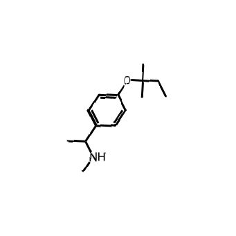 CCC(C)(C)Oc1ccc(C(C)NC)cc1